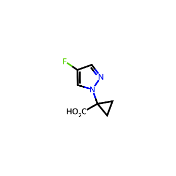 O=C(O)C1(n2cc(F)cn2)CC1